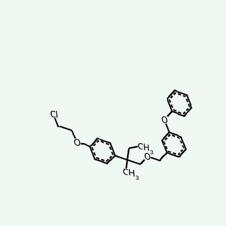 CCC(C)(COCc1cccc(Oc2ccccc2)c1)c1ccc(OCCCl)cc1